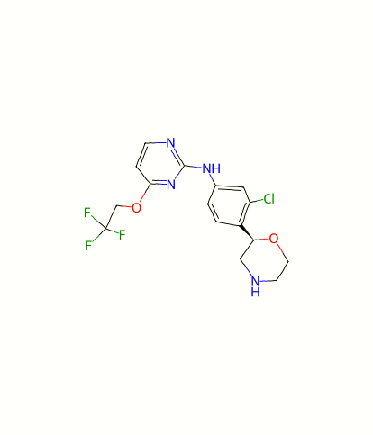 FC(F)(F)COc1ccnc(Nc2ccc([C@@H]3CNCCO3)c(Cl)c2)n1